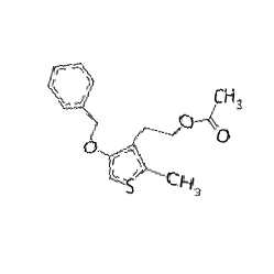 CC(=O)OCCc1c(OCc2ccccc2)csc1C